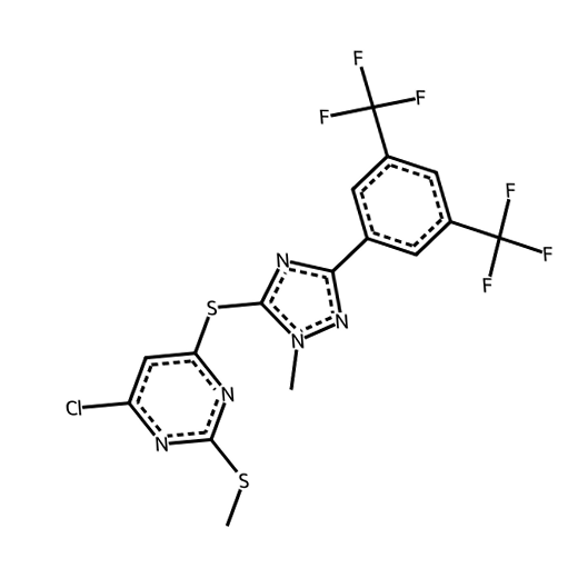 CSc1nc(Cl)cc(Sc2nc(-c3cc(C(F)(F)F)cc(C(F)(F)F)c3)nn2C)n1